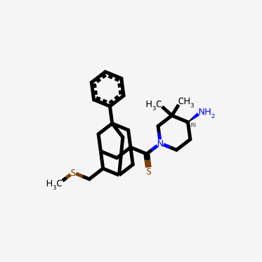 CSCC1C2CC3(C(=S)N4CC[C@H](N)C(C)(C)C4)CC1CC(c1ccccc1)(C2)C3